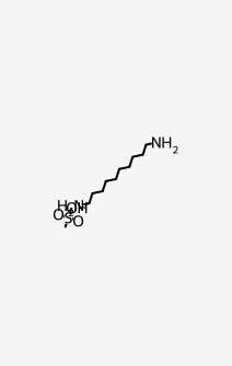 CS(=O)(=O)O.NCCCCCCCCCCN